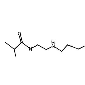 CCCCNCC[N]C(=O)C(C)C